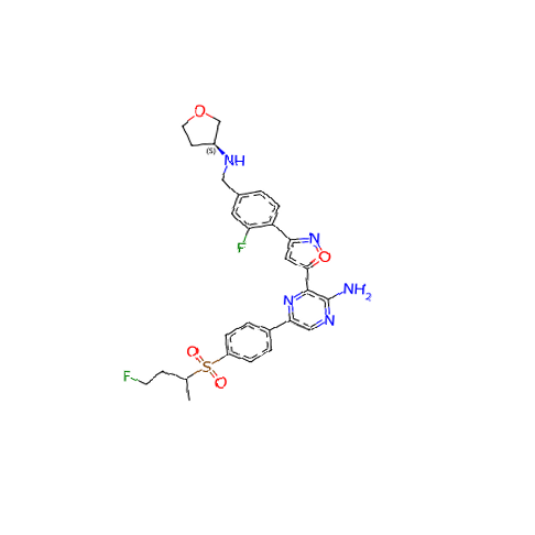 CC(CCF)S(=O)(=O)c1ccc(-c2cnc(N)c(-c3cc(-c4ccc(CN[C@H]5CCOC5)cc4F)no3)n2)cc1